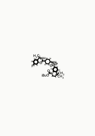 CC(C)COC(=O)N1CCC(C)(C)c2ccc(S(=O)(=O)NC3CCC(C(=O)NC(C)c4ccc(F)cc4)CC3)cc21